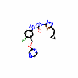 O=C(Nc1ccc(F)c(COc2cnccn2)c1)Nc1nnc(CC2CC2)s1